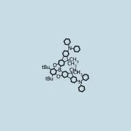 CC(C)(C)c1cc(C(C)(C)C)c2c3c1Oc1cc4c(cc1B3c1cc3c(cc1O2)-c1ccc(N(c2ccccc2)c2ccccc2)cc1C3(C)C)C(C)(C)c1cc(N(c2ccccc2)c2ccccc2)ccc1-4